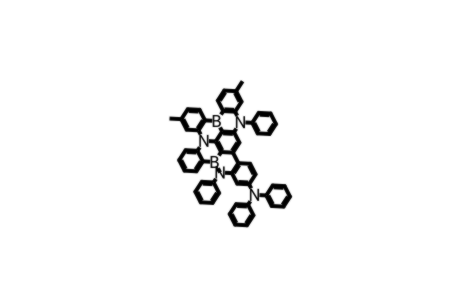 Cc1ccc2c(c1)N(c1ccccc1)c1cc3c4c5c1B2c1ccc(C)cc1N5c1ccccc1B4N(c1ccccc1)c1cc(N(c2ccccc2)c2ccccc2)ccc1-3